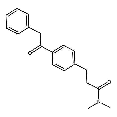 CN(C)C(=O)CCc1ccc(C(=O)Cc2ccccc2)cc1